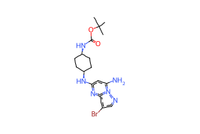 CC(C)(C)OC(=O)N[C@H]1CC[C@@H](Nc2cc(N)n3ncc(Br)c3n2)CC1